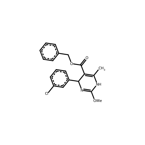 COC1=NC(c2cccc(Cl)c2)C(C(=O)OCc2ccccc2)=C(C)N1